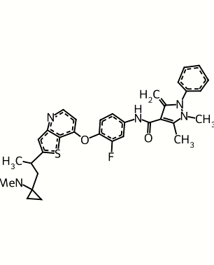 C=C1C(C(=O)Nc2ccc(Oc3ccnc4cc(C(C)CC5(NC)CC5)sc34)c(F)c2)=C(C)N(C)N1c1ccccc1